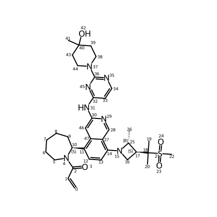 C=CC(=O)N1CCCCC[C@H]1c1ccc(N2C[C@H](C(C)(C)S(C)(=O)=O)[C@H]2C)c2cnc(Nc3ccnc(N4CCC(C)(O)CC4)n3)cc12